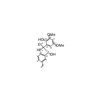 CCC(C)(Pc1ccc(F)cc1CO)c1cc(OC)cc(OC)c1O